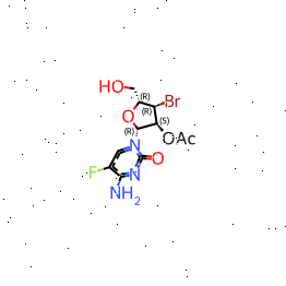 CC(=O)O[C@@H]1[C@H](Br)[C@@H](CO)O[C@H]1n1cc(F)c(N)nc1=O